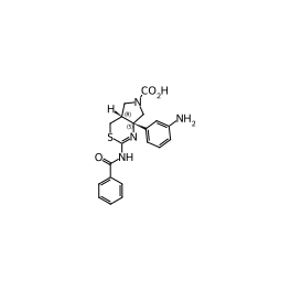 Nc1cccc([C@]23CN(C(=O)O)C[C@H]2CSC(NC(=O)c2ccccc2)=N3)c1